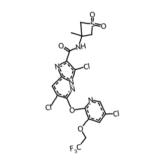 CC1(NC(=O)c2nc3cc(Cl)c(Oc4ncc(Cl)cc4OCC(F)(F)F)nn3c2Cl)CS(=O)(=O)C1